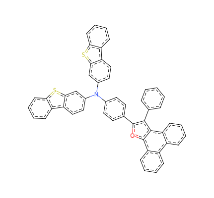 c1ccc(-c2c(-c3ccc(N(c4ccc5c(c4)sc4ccccc45)c4ccc5c(c4)sc4ccccc45)cc3)oc3c4ccccc4c4ccccc4c23)cc1